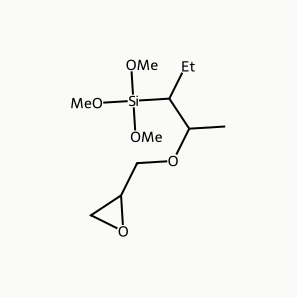 CCC(C(C)OCC1CO1)[Si](OC)(OC)OC